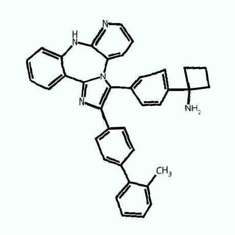 Cc1ccccc1-c1ccc(-c2nc3n(c2-c2ccc(C4(N)CCC4)cc2)-c2cccnc2Nc2ccccc2-3)cc1